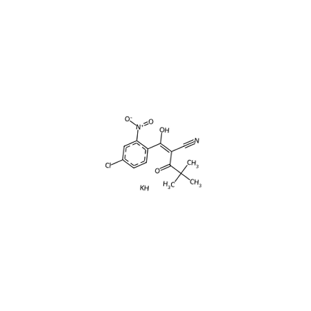 CC(C)(C)C(=O)C(C#N)=C(O)c1ccc(Cl)cc1[N+](=O)[O-].[KH]